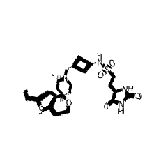 CCc1cc2c(s1)CCO[C@@]21CCN(C[C@H]2C[C@@H](NS(=O)(=O)CCC3NC(=O)NC3=O)C2)[C@@H](C)C1